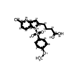 COc1ccc(S(=O)(=O)n2c(CCCC(=O)O)cc3nc(Cl)ccc32)cc1